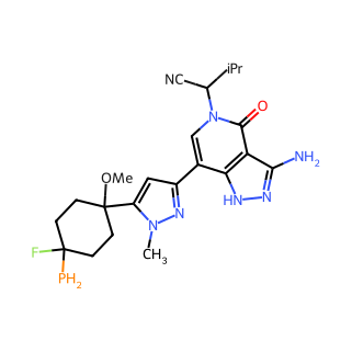 COC1(c2cc(-c3cn(C(C#N)C(C)C)c(=O)c4c(N)n[nH]c34)nn2C)CCC(F)(P)CC1